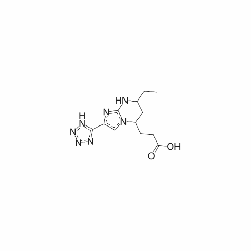 CCC1CC(CCC(=O)O)n2cc(-c3nnn[nH]3)nc2N1